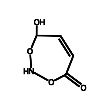 O=C1C=CC(O)ONO1